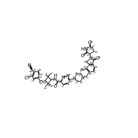 CC1(C)C(NC(=O)c2ccc(N3CCN(Cc4ccc5c(c4F)CN(C4CCC(=O)NC4=O)C5=O)CC3)nn2)C(C)(C)C1Oc1ccc(C#N)c(Cl)c1